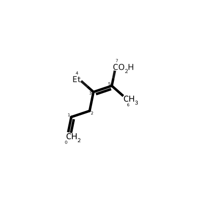 C=CC/C(CC)=C(\C)C(=O)O